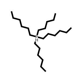 CCCCCC[PH](CCCCC)(CCCCCC)CCCCCC